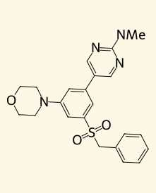 CNc1ncc(-c2cc(N3CCOCC3)cc(S(=O)(=O)Cc3ccccc3)c2)cn1